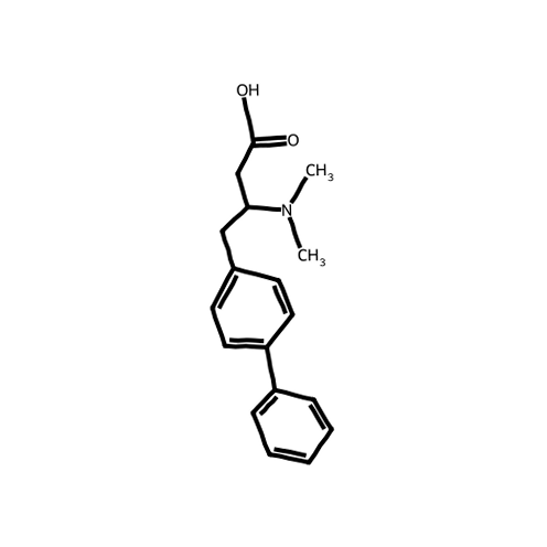 CN(C)C(CC(=O)O)Cc1ccc(-c2ccccc2)cc1